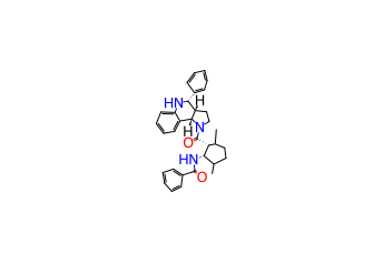 CC1CCC(C)[C@H](NC(=O)c2ccccc2)[C@@H]1C(=O)N1CC[C@H]2[C@@H](c3ccccc3)Nc3ccccc3[C@H]21